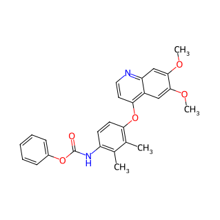 COc1cc2nccc(Oc3ccc(NC(=O)Oc4ccccc4)c(C)c3C)c2cc1OC